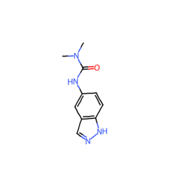 CN(C)C(=O)Nc1ccc2[nH]ncc2c1